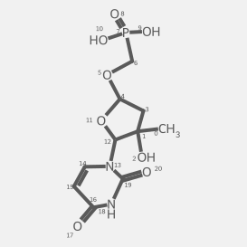 CC1(O)CC(OCP(=O)(O)O)OC1n1ccc(=O)[nH]c1=O